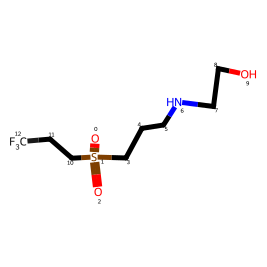 O=S(=O)(CCCNCCO)CCC(F)(F)F